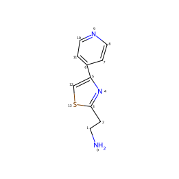 NCCc1nc(-c2ccncc2)cs1